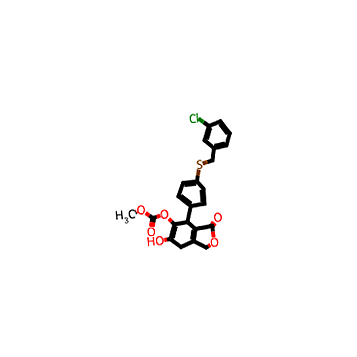 COC(=O)OC1=C(O)CC2=C(C(=O)OC2)C1c1ccc(SCc2cccc(Cl)c2)cc1